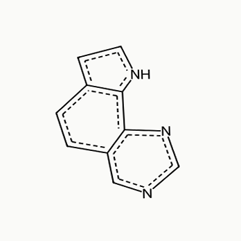 c1ncc2ccc3cc[nH]c3c2n1